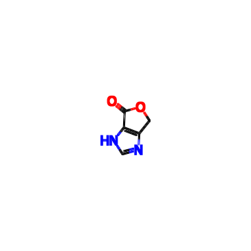 O=C1OCc2nc[nH]c21